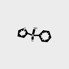 N=S(=O)(c1ccccc1)c1ccco1